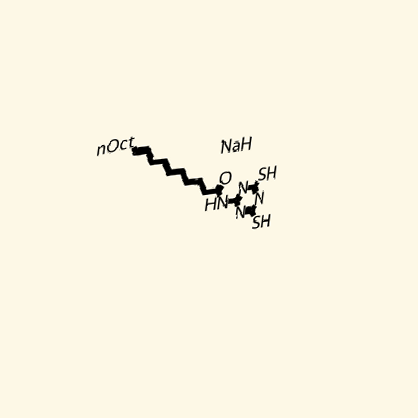 CCCCCCCCC=CCCCCCCCC(=O)Nc1nc(S)nc(S)n1.[NaH]